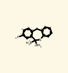 BC1(B)Sc2ccccc2Cc2ccc(F)cc21